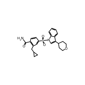 NC(=O)c1ccc(S(=O)(=O)n2cc(C3CCOCC3)c3ccccc32)cc1CC1CC1